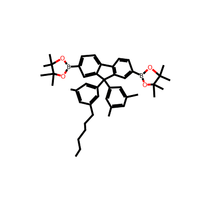 CCCCCCc1cc(C)cc(C2(c3cc(C)cc(C)c3)c3cc(B4OC(C)(C)C(C)(C)O4)ccc3-c3ccc(B4OC(C)(C)C(C)(C)O4)cc32)c1